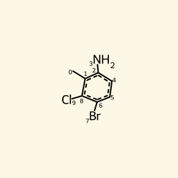 Cc1c(N)ccc(Br)c1Cl